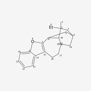 CCC1(C)CC2CC3c4oc5ccccc5c4CCN(C2)C31